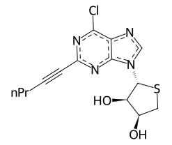 CCCC#Cc1nc(Cl)c2ncn([C@@H]3SC[C@@H](O)[C@H]3O)c2n1